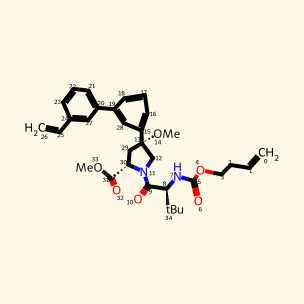 C=CCCOC(=O)N[C@H](C(=O)N1C[C@](OC)(c2cccc(-c3cccc(C=C)c3)c2)C[C@H]1C(=O)OC)C(C)(C)C